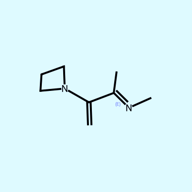 C=C(/C(C)=N/C)N1CCC1